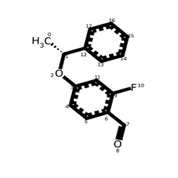 C[C@@H](Oc1ccc(C=O)c(F)c1)c1ccccc1